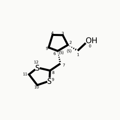 OC[C@H]1CCC[C@H]1CC1SCCS1